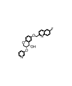 O[C@H]1c2cc(OCc3ccc4cc(F)ccc4n3)ccc2OC[C@H]1Oc1cccnc1